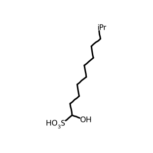 CC(C)CCCCCCCCC(O)S(=O)(=O)O